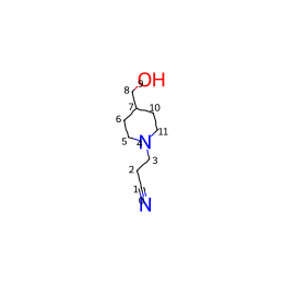 N#CCCN1CCC(CO)CC1